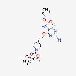 C=CCOC(=O)Nc1c(Cl)nc(C#N)nc1OCCC1CCN(C(=O)OC(C)(C)C)CC1